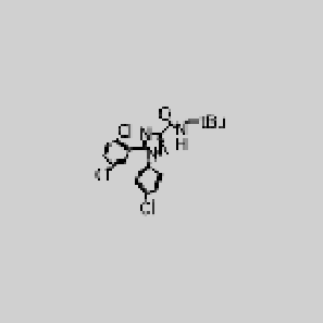 CC(C)(C)CNC(=O)c1nc(-c2cc(Cl)ccc2Cl)n(-c2ccc(Cl)cc2)n1